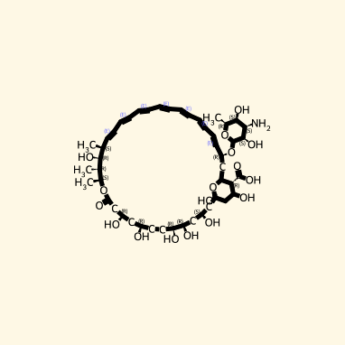 C[C@@H]1[C@H](O)[C@@H](C)/C=C/C=C/C=C/C=C/C=C/C=C/C=C/[C@H](OC2O[C@H](C)[C@@H](O)[C@H](N)[C@@H]2O)CC2O[C@@](O)(CC(O)[C@H]2C(=O)O)C[C@@H](O)C[C@@H](O)[C@H](O)CC[C@@H](O)C[C@@H](O)CC(=O)O[C@H]1C